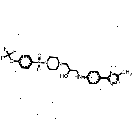 Cc1nc(-c2ccc(NCC(O)CN3CCN(S(=O)(=O)c4ccc(OC(F)(F)F)cc4)CC3)cc2)no1